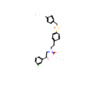 CC(C)(C)OC(=O)N(CCc1ccc(S(=O)(=O)Cc2ccc(C(=O)O)cc2)cc1)C[C@@H](O)c1cccc(Cl)c1